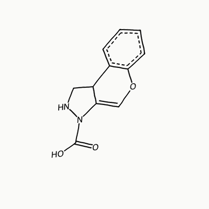 O=C(O)N1NCC2C1=COc1ccccc12